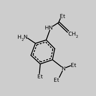 C=C(CC)Nc1cc(N(CC)CC)c(CC)cc1N